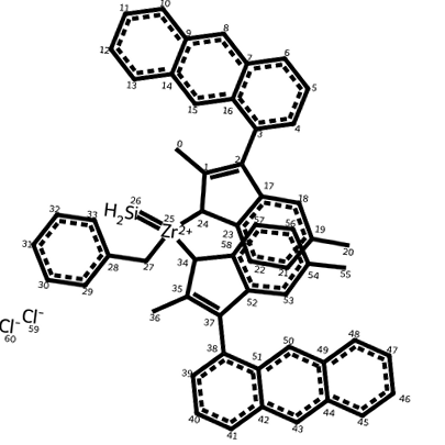 CC1=C(c2cccc3cc4ccccc4cc23)c2cc(C)ccc2[CH]1[Zr+2](=[SiH2])([CH2]c1ccccc1)[CH]1C(C)=C(c2cccc3cc4ccccc4cc23)c2cc(C)ccc21.[Cl-].[Cl-]